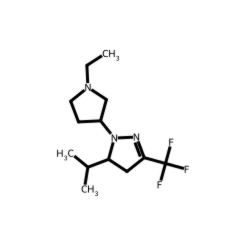 CCN1CCC(N2N=C(C(F)(F)F)CC2C(C)C)C1